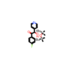 CC(C)(C)[Si](C)(C)O[Si](C)(C)C(C)(C)C.O=C(c1ccc(F)cc1)C(O)c1ccncc1